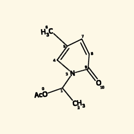 CC(=O)OC(C)n1cc(C)ccc1=O